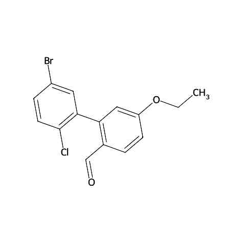 CCOc1ccc(C=O)c(-c2cc(Br)ccc2Cl)c1